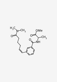 COC(=O)C(C)NC(=O)c1cccc(/C=C\CCCC(=O)N(C)C)c1